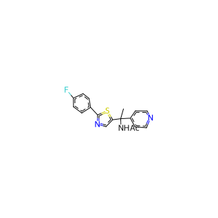 CC(=O)NC(C)(c1ccncc1)c1cnc(-c2ccc(F)cc2)s1